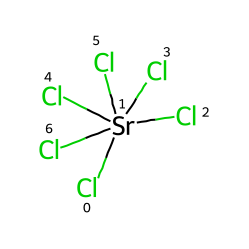 [Cl][Sr]([Cl])([Cl])([Cl])([Cl])[Cl]